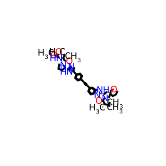 COC(=O)N[C@H](C(=O)N1CCC[C@H]1c1ncc(-c2ccc(C#Cc3ccc4nc([C@@H]5C[C@]6(CCCOC6)CN5C(=O)[C@@H](C)C(C)C)[nH]c4c3)cc2)[nH]1)C(C)C